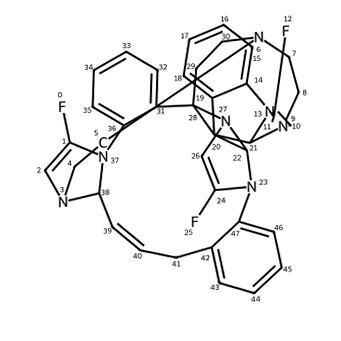 FC1=CN2CCN3CCN4C=C(F)N5c6ccccc6C6(C45)C4N5C(F)=CN4C6(CC3)c3ccccc3N1C2/C=C\Cc1ccccc15